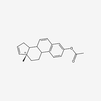 CC(=O)Oc1ccc2c(c1)C=CC1C2CC[C@]2(C)C=CCC12